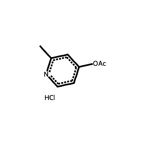 CC(=O)Oc1ccnc(C)c1.Cl